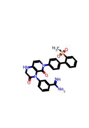 CS(=O)(=O)c1ccccc1-c1ccc(-n2ccc3c(c2=O)N(c2cccc(C(=N)N)c2)C(=O)CN3)cc1